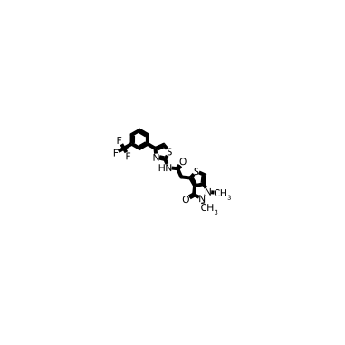 Cn1c(=O)c2c(CC(=O)Nc3nc(-c4cccc(C(F)(F)F)c4)cs3)scc2n1C